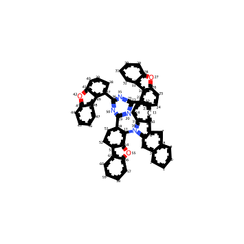 c1ccc2cc3c(cc2c1)c1ccccc1n3-c1c(-c2nc(-c3cccc4oc5ccccc5c34)nc(-c3cccc4oc5ccccc5c34)n2)ccc2c1oc1ccccc12